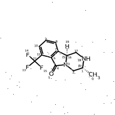 C[C@@H]1CN2C(=O)c3c(cccc3C(F)(F)F)[C@H]2CN1